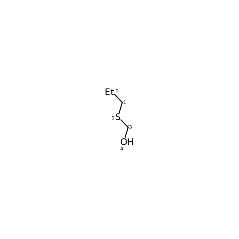 CCCS[CH]O